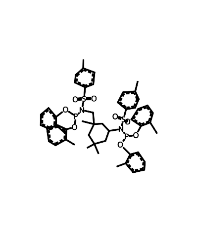 Cc1ccc(S(=O)(=O)N(CC2(C)CC(N(P(Oc3ccccc3C)Oc3ccccc3C)S(=O)(=O)c3ccc(C)cc3)CC(C)(C)C2)P(Oc2ccccc2C)Oc2ccccc2C)cc1